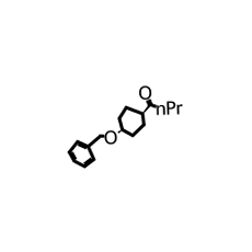 CCCC(=O)[C@H]1CC[C@H](OCc2ccccc2)CC1